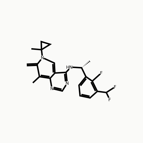 C=C1C(C)=c2ncnc(N[C@H](C)c3cccc(C(F)F)c3F)c2=CN1C1(C)CC1